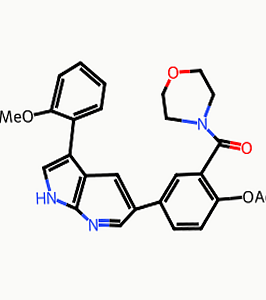 COc1ccccc1-c1c[nH]c2ncc(-c3ccc(OC(C)=O)c(C(=O)N4CCOCC4)c3)cc12